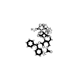 CC(=O)OCC1=C(C(=O)OC(c2ccccc2)c2ccccc2)N2C(=O)[C@@](N)(P(=O)(N(C)C)N(C)C)[C@H]2SC1